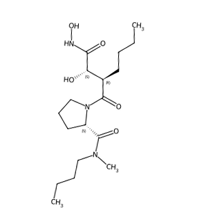 CCCC[C@@H](C(=O)N1CCC[C@H]1C(=O)N(C)CCCC)[C@H](O)C(=O)NO